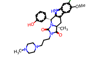 COc1cc2c3c([nH]c2cc1F)[C@@H](c1cccc(O)c1)N1C(=O)N(CCCN2CCN(C)CC2)C(=O)[C@]1(C)C3